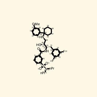 CCCN(CCC)S(=O)(=O)c1cccc(C(=O)N[C@@H](Cc2cc(F)cc(F)c2)[C@H](O)CNC2(c3cccc(OC)c3)CCCCC2)c1